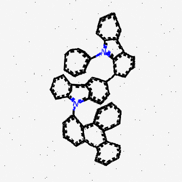 c1ccc(-n2c3ccccc3c3cccc(-c4ccc5c(c4)c4ccccc4n5-c4cccc5c6ccccc6c6ccccc6c45)c32)cc1